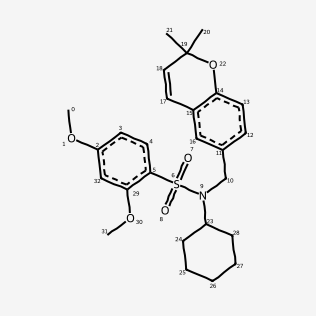 COc1ccc(S(=O)(=O)N(Cc2ccc3c(c2)C=CC(C)(C)O3)C2CCCCC2)c(OC)c1